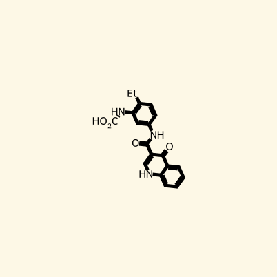 CCc1ccc(NC(=O)c2c[nH]c3ccccc3c2=O)cc1NC(=O)O